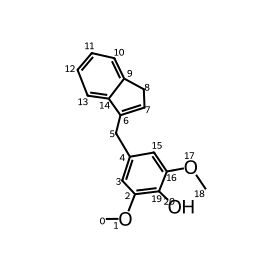 COc1cc(CC2=CCc3ccccc32)cc(OC)c1O